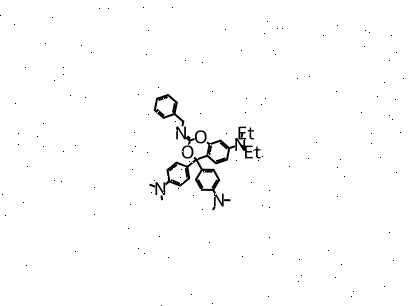 CCN(CC)c1ccc2c(c1)OC(=NCc1ccccc1)OC2(c1ccc(N(C)C)cc1)c1ccc(N(C)C)cc1